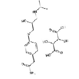 CC(C)NCC(O)COc1ccc(CC(N)=O)cc1.O=C(O)C(O)C(O)C(=O)O